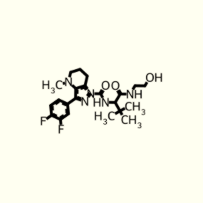 CN1CCCc2c1c(-c1ccc(F)c(F)c1)nn2C(=O)NC(C(=O)NCCO)C(C)(C)C